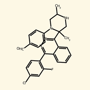 CC1CN(c2ccc(C=O)cc2)C(C)(c2nnc(-c3ccc(Cl)cc3F)c3ccccc23)CN1